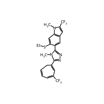 CCSc1cc2c(cc1-c1nnc(C3=CC(C(F)(F)F)=CC=CC3)n1C)cc(C(F)(F)F)n2C